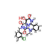 Cc1ccc(CNC(=O)c2nc(-c3ccccc3N3CCOCC3)n(C)c(=O)c2O)cc1Cl